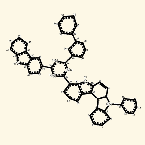 C1=CC2C(c3ccccc3N2c2ccccc2)c2c1oc1c(-c3nc(-c4cccc(-c5ccccc5)c4)nc(-c4ccc5sc6ccccc6c5c4)n3)cccc21